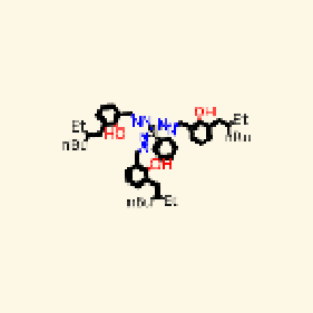 CCCCC(CC)Cc1cccc(C/N=N/[Si](/N=N/Cc2cccc(CC(CC)CCCC)c2O)(/N=N/Cc2cccc(CC(CC)CCCC)c2O)c2ccccc2)c1O